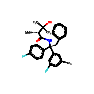 CN[C@@H](C(=O)N[C@](Cc1ccccc1)(c1ccc(F)cc1)c1cc(F)cc(C(F)(F)F)c1)C(O)(C(F)(F)F)C(F)(F)F